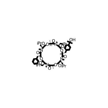 CC(C)C[C@H]1C(=O)O[C@H](Cc2ccc(C(C)(C)O)cc2)C(=O)N(C)[C@@H](CC(C)C)C(=O)O[C@H](C)C(=O)N(C)[C@@H](CC(C)C)C(=O)O[C@H](Cc2ccccc2)C(=O)N(C)[C@@H](CC(C)C)C(=O)O[C@H](C)C(=O)N1C